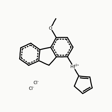 COc1cc[c]([Hf+2][C]2=CC=CC2)c2c1-c1ccccc1C2.[Cl-].[Cl-]